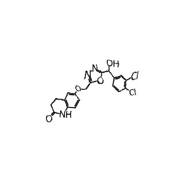 O=C1CCc2cc(OCc3nnc(C(O)c4ccc(Cl)c(Cl)c4)o3)ccc2N1